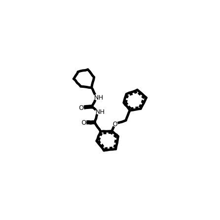 O=C(NC(=O)c1ccccc1OCc1ccccc1)NC1CCCCC1